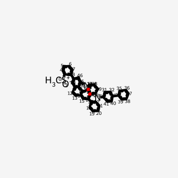 C[S+]([O-])c1ccccc1-c1cc2ccc3cc(-c4ccccc4N(c4ccccc4)c4ccc(-c5ccccc5)cc4)cc4[nH]c(c1)c2c34